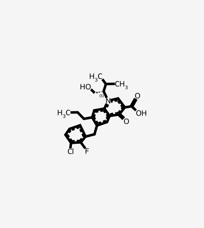 CCCc1cc2c(cc1Cc1cccc(Cl)c1F)c(=O)c(C(=O)O)cn2[C@H](CO)C(C)C